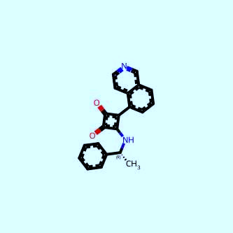 C[C@@H](Nc1c(-c2cccc3cnccc23)c(=O)c1=O)c1ccccc1